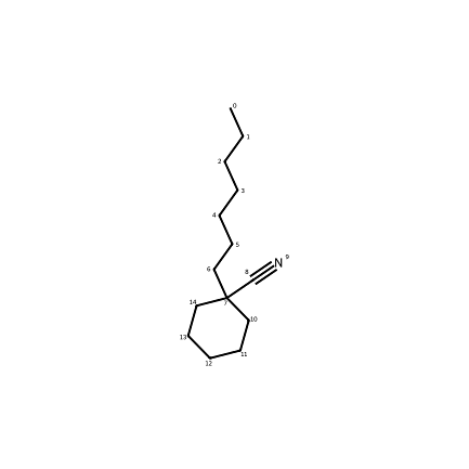 CCCCCCCC1(C#N)CCCCC1